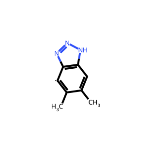 Cc1[c]c2nn[nH]c2cc1C